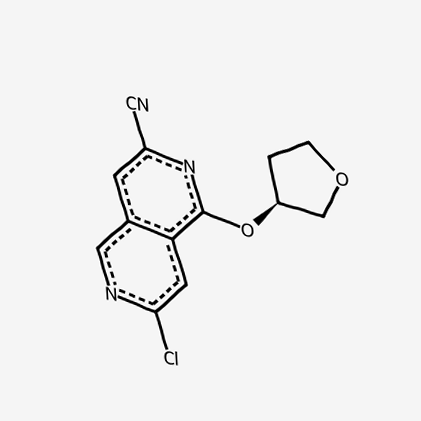 N#Cc1cc2cnc(Cl)cc2c(O[C@H]2CCOC2)n1